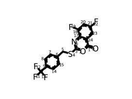 O=c1oc(SCc2ccc(C(F)(F)F)cc2)nc2c(F)cc(F)cc12